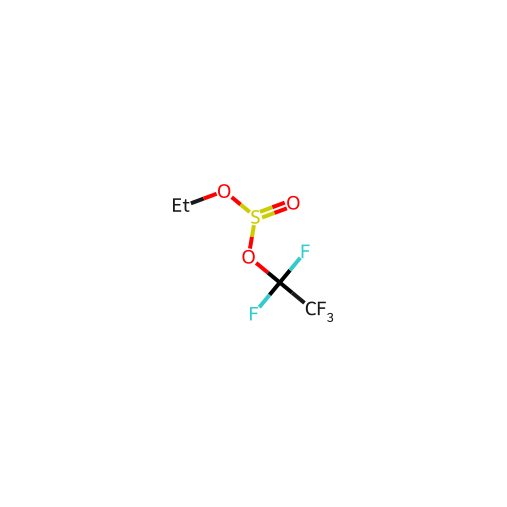 CCOS(=O)OC(F)(F)C(F)(F)F